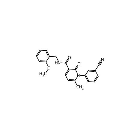 COc1ccccc1CNC(=O)c1ccc(C)n(-c2cccc(C#N)c2)c1=O